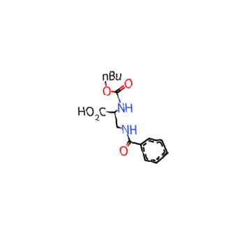 CCCCOC(=O)NC(CNC(=O)c1ccccc1)C(=O)O